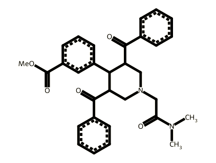 COC(=O)c1cccc(C2C(C(=O)c3ccccc3)CN(CC(=O)N(C)C)CC2C(=O)c2ccccc2)c1